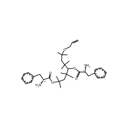 C=CCOC(C)(C)CC(C)(C)C(OC(=O)[C@@H](N)Cc1ccccc1)C(C)(C)CC(C)(C)OC(=O)[C@@H](N)Cc1ccccc1